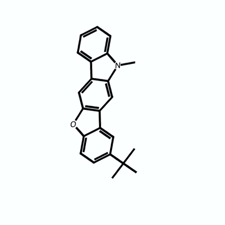 Cn1c2ccccc2c2cc3oc4ccc(C(C)(C)C)cc4c3cc21